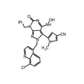 CC(C)Cn1c(=O)nc(NO)c2c(-c3cc(C#N)cn3C)n(Cc3ccnc4c(Cl)cccc34)nc21